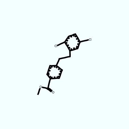 COC(=O)c1ccc(CCc2cc(Cl)ccc2Cl)cc1